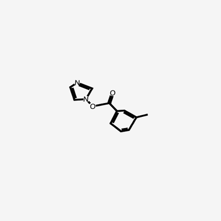 Cc1cccc(C(=O)On2ccnc2)c1